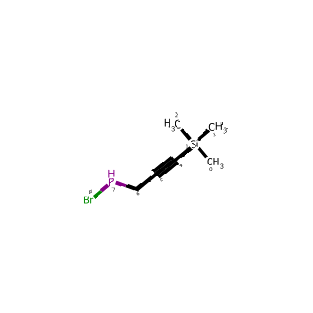 C[Si](C)(C)C#CCPBr